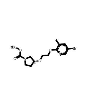 Cc1cc(Br)cnc1OCCO[C@H]1CCN(C(=O)OC(C)(C)C)C1